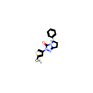 Cc1cc(-n2nc3n(c2=O)[C@H](c2ccccc2)CC3)cs1